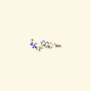 COCCOc1cc2nccc(Sc3ccc(NC(=O)NC4CC4)s3)c2cc1C#N